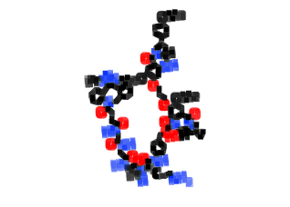 COc1ccc(C2=CN3C(=O)c4cc(OC)c(OCCCOc5cc6c(cc5OC)C(=O)N5CC7(CC7)C[C@H]5C(O)N6C(=O)OCc5ccc(NC(=O)[C@H](CCCCN)NC(=O)[C@@H](NC(=O)CNC(=O)CNC(=O)CCC(=O)N6Cc7ccccc7-c7nnn(C(C)C)c7-c7ccccc76)C(C)C)cc5)cc4NC[C@@H]3C2)cc1